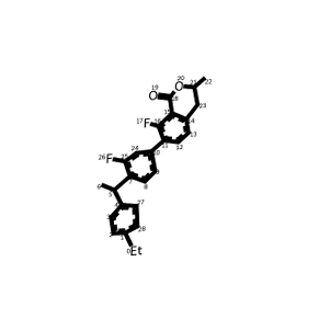 CCc1ccc(C(C)c2ccc(-c3ccc4c(c3F)C(=O)OC(C)C4)cc2F)cc1